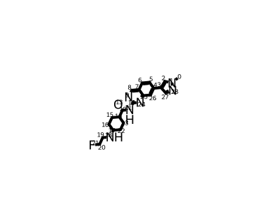 Cn1cc(-c2ccc3cnc(NC(=O)C4CCC(NCCF)CC4)nc3c2)cn1